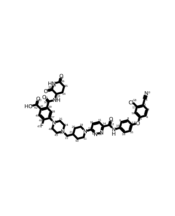 N#Cc1ccc(Oc2ccc(NC(=O)c3ccc(N4CCC(CN5CCN(c6cc(C(=O)NC7CCC(=O)NC7=O)c(C(=O)O)cc6F)CC5)CC4)nn3)cc2)cc1Cl